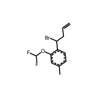 C=CCC(Br)c1ccc(C)cc1OC(F)F